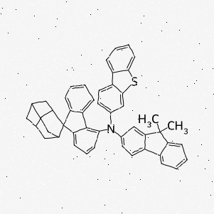 CC1(C)c2ccccc2-c2ccc(N(c3ccc4c(c3)sc3ccccc34)c3cccc4c3-c3ccccc3C43C4CC5CC(C4)CC3C5)cc21